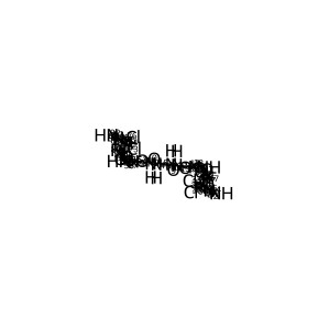 O=C(NCCCCNC(=O)NCCOCCN1CC[C@@H](NS(=O)(=O)c2ccc(O[C@H]3c4cc(Cl)cc(Cl)c4C[C@@H]3N3CCNCC3)c(F)c2)C1)NCCOCCN1CC[C@@H](NS(=O)(=O)c2ccc(O[C@H]3c4cc(Cl)cc(Cl)c4C[C@@H]3N3CCNCC3)c(F)c2)C1